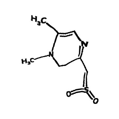 CC1=CN=C(C=S(=O)=O)CN1C